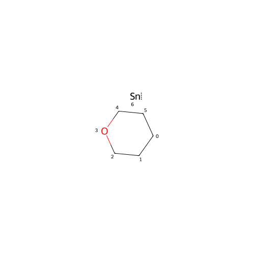 C1CCOCC1.[Sn]